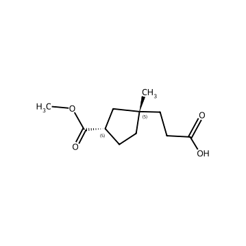 COC(=O)[C@H]1CC[C@@](C)(CCC(=O)O)C1